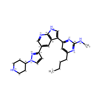 CCCCc1cc(-c2c[nH]c3ncc(-c4ccn(C5CCNCC5)n4)cc23)nc(NC)n1